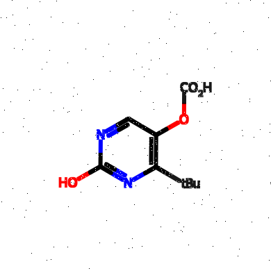 CC(C)(C)c1nc(O)ncc1OC(=O)O